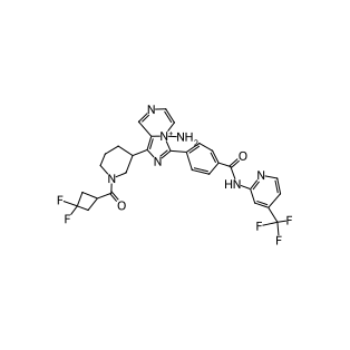 N[N+]12C=CN=CC1=C(C1CCCN(C(=O)C3CC(F)(F)C3)C1)N=C2c1ccc(C(=O)Nc2cc(C(F)(F)F)ccn2)cc1